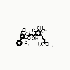 C=C[C@@H]1CC(c2ccccc2)=C(C)[C@H]1OC(=O)C[C@H](O)C1=C[C@@H](CCCC(=C)C)[C@H](O)[C@@H](C)C1=O